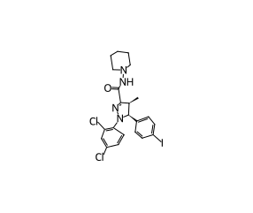 C[C@@H]1C(C(=O)NN2CCCCC2)=NN(c2ccc(Cl)cc2Cl)[C@@H]1c1ccc(I)cc1